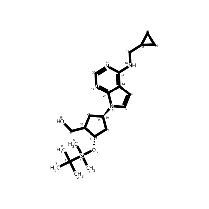 CC(C)(C)[Si](C)(C)O[C@H]1C[C@H](n2ccc3c(NCC4CC4)ncnc32)CC1CO